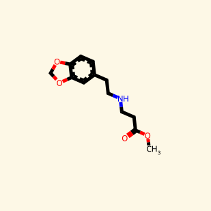 COC(=O)CCNCCc1ccc2c(c1)OCO2